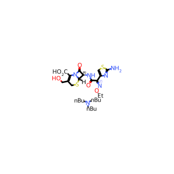 CCCCN(CCCC)CCCC.CCO/N=C(\C(=O)N[C@@H]1C(=O)N2C(C(=O)O)=C(CO)CS[C@@H]12)c1csc(N)n1